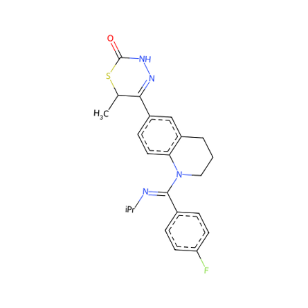 CC(C)N=C(c1ccc(F)cc1)N1CCCc2cc(C3=NNC(=O)SC3C)ccc21